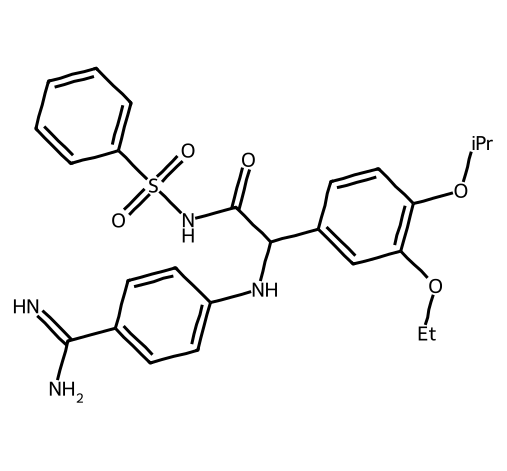 CCOc1cc(C(Nc2ccc(C(=N)N)cc2)C(=O)NS(=O)(=O)c2ccccc2)ccc1OC(C)C